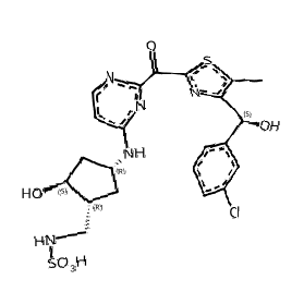 Cc1sc(C(=O)c2nccc(N[C@@H]3C[C@H](CNS(=O)(=O)O)[C@@H](O)C3)n2)nc1[C@@H](O)c1cccc(Cl)c1